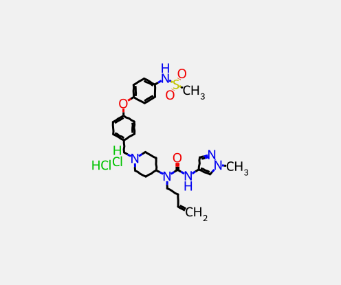 C=CCCN(C(=O)Nc1cnn(C)c1)C1CCN(Cc2ccc(Oc3ccc(NS(C)(=O)=O)cc3)cc2)CC1.Cl.Cl